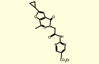 CCOC(=O)c1cnc(NC(=O)Cn2nc(C)c3oc(C4CC4)cc3c2=O)nc1